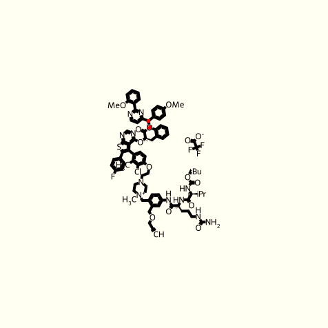 C#CCOCc1cc(NC(=O)[C@H](CCCNC(N)=O)NC(=O)[C@@H](NC(=O)OC(C)(C)C)C(C)C)ccc1C[N+]1(C)CCN(CCOc2ccc(-c3c(-c4ccc(F)cc4)sc4ncnc(O[C@H](Cc5ccccc5OCc5ccnc(-c6ccccc6OC)n5)C(=O)OCc5ccc(OC)cc5)c34)c(C)c2Cl)CC1.O=C([O-])C(F)(F)F